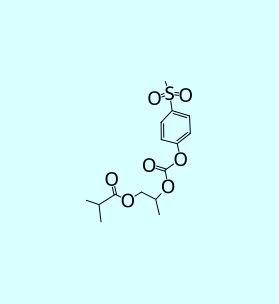 CC(COC(=O)C(C)C)OC(=O)Oc1ccc(S(C)(=O)=O)cc1